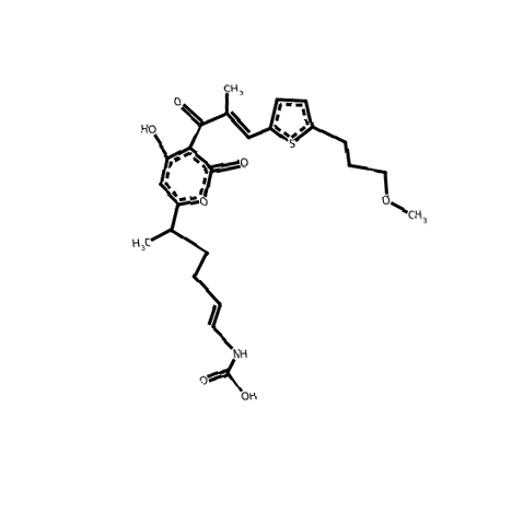 COCCCc1ccc(C=C(C)C(=O)c2c(O)cc(C(C)CCC=CNC(=O)O)oc2=O)s1